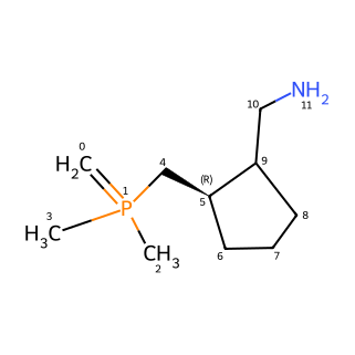 C=P(C)(C)C[C@@H]1CCCC1CN